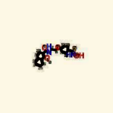 COc1c(C(=O)NCCOc2ccc(C(=S)NO)cc2)ccc2ccccc12